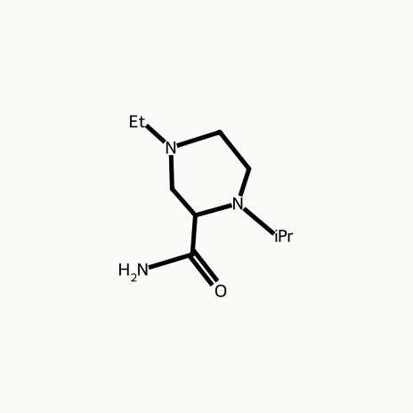 CCN1CCN(C(C)C)C(C(N)=O)C1